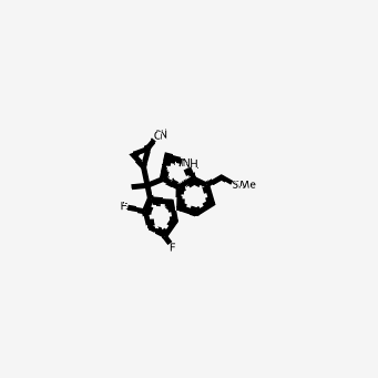 CSCc1cccc2c(C(C)(c3ccc(F)cc3F)C3CC3C#N)c[nH]c12